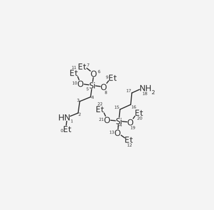 CCNCCC[Si](OCC)(OCC)OCC.CCO[Si](CCCN)(OCC)OCC